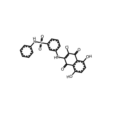 O=C1C(Cl)=C(Nc2cccc(S(=O)(=O)Nc3ccccc3)c2)C(=O)c2c(O)ccc(O)c21